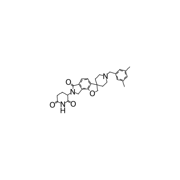 Cc1cc(C)cc(CN2CCC3(CC2)COc2c3ccc3c2CN(C2CCC(=O)NC2=O)C3=O)c1